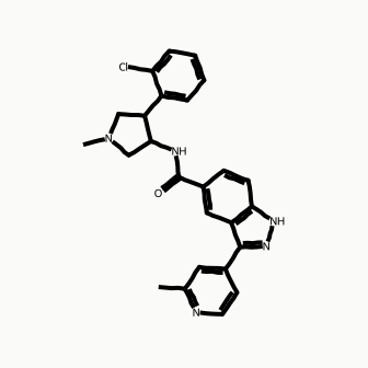 Cc1cc(-c2n[nH]c3ccc(C(=O)NC4CN(C)CC4c4ccccc4Cl)cc23)ccn1